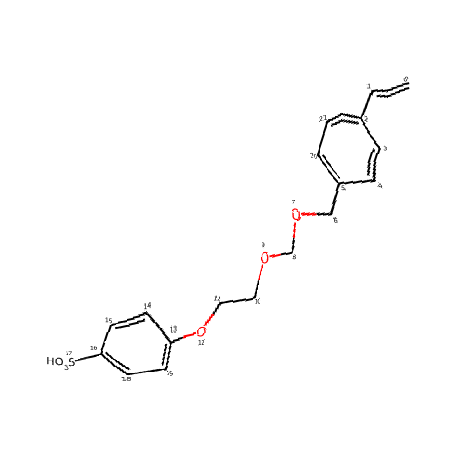 C=Cc1ccc(COCOCCOc2ccc(S(=O)(=O)O)cc2)cc1